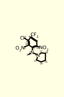 CN(c1c([N+](=O)[O-])cc(C(F)(F)F)c(Cl)c1[N+](=O)[O-])N1CCCCC1